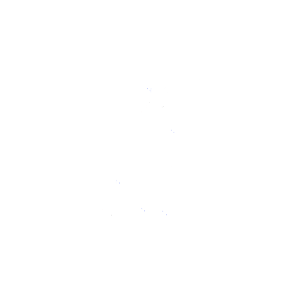 CC1(O)CC(n2cnc3cc(OCCN4CCC5(CC4)C(=O)Nc4ccc(Cl)cc45)cc(C#N)c32)C1